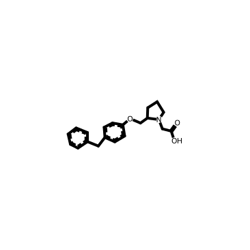 O=C(O)CN1CCCC1COc1ccc(Cc2ccccc2)cc1